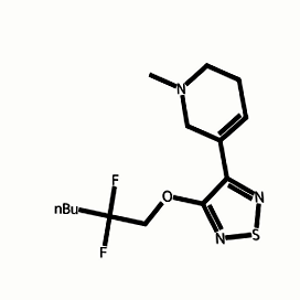 CCCCC(F)(F)COc1nsnc1C1=CCCN(C)C1